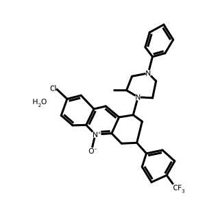 CC1CN(c2ccccc2)CCN1C1CC(c2ccc(C(F)(F)F)cc2)Cc2c1cc1cc(Cl)ccc1[n+]2[O-].O